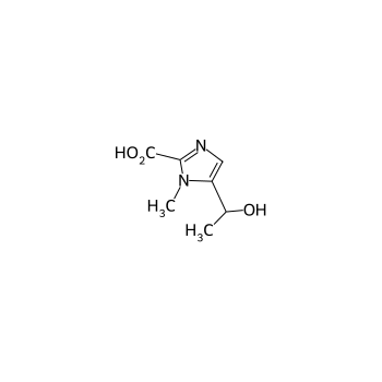 CC(O)c1cnc(C(=O)O)n1C